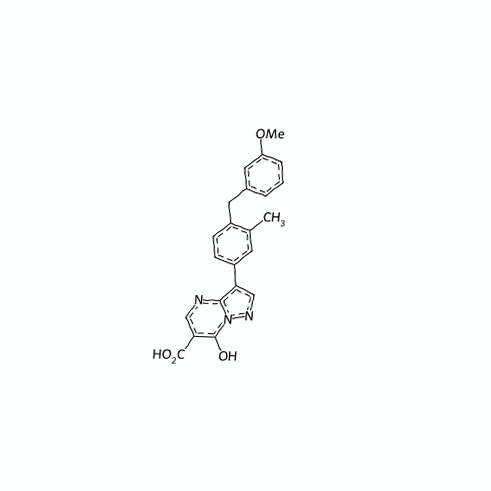 COc1cccc(Cc2ccc(-c3cnn4c(O)c(C(=O)O)cnc34)cc2C)c1